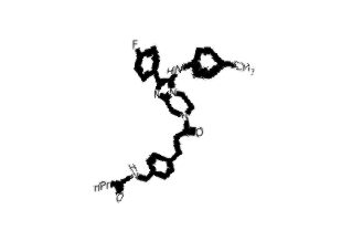 CCCC(=O)NCc1ccc(CCC(=O)N2CCn3c(nc(-c4ccc(F)cc4)c3Nc3ccc(C)cc3)C2)cc1